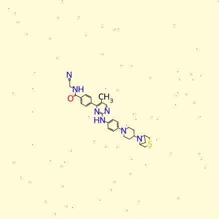 Cc1cnc(Nc2ccc(N3CCC(N4C5CSCC4C5)CC3)cc2)nc1-c1ccc(C(=O)NCC#N)cc1